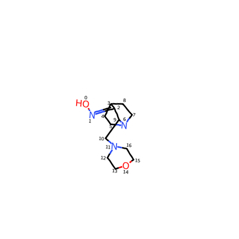 ON=C1C2CCN(CC2)C1CN1CCOCC1